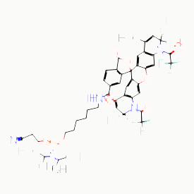 CC1=CC(C)(C)N(C(=O)C(F)(F)F)c2cc3c(cc21)C1(OC(=O)c2ccc(C(=O)NCCCCCCOP(OCCC#N)N(C(C)C)C(C)C)cc21)c1cc2c(cc1O3)N(C(=O)C(F)(F)F)C(C)(C)C=C2C